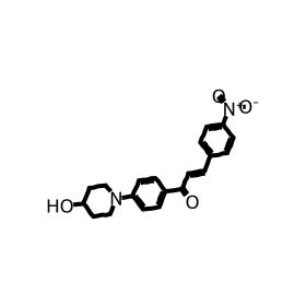 O=C(C=Cc1ccc([N+](=O)[O-])cc1)c1ccc(N2CCC(O)CC2)cc1